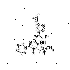 CC[C@H](NC(=O)[C@H](CC(C)(F)F)NC(=O)N1CCOCC1)C(=O)c1nc(C2CC2)no1